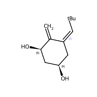 C=C1/C(=C\C(C)(C)C)C[C@@H](O)C[C@H]1O